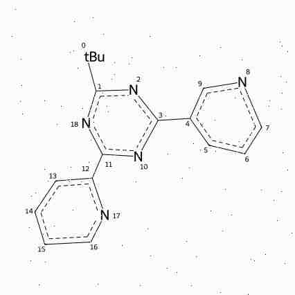 CC(C)(C)c1nc(-c2cccnc2)nc(-c2ccccn2)n1